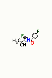 CC(C)C1CN(C(=O)c2ccc(F)cc2)C[C@@H]1F